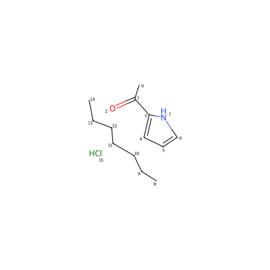 CC(=O)c1ccc[nH]1.CCCCCCC.Cl